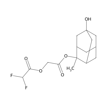 CC1(OC(=O)COC(=O)C(F)F)C2CC3CC1CC(O)(C3)C2